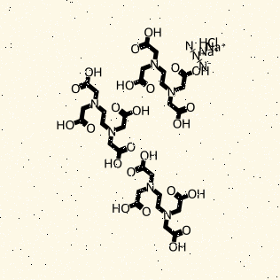 Cl.O=C(O)CN(CCN(CC(=O)O)CC(=O)O)CC(=O)O.O=C(O)CN(CCN(CC(=O)O)CC(=O)O)CC(=O)O.O=C(O)CN(CCN(CC(=O)O)CC(=O)O)CC(=O)O.[N-]=[N+]=[N-].[Na+].[Na+]